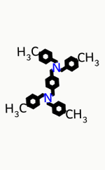 Cc1ccc(CN(Cc2ccc(C)cc2)Cc2ccc(CN(Cc3ccc(C)cc3)Cc3ccc(C)cc3)cc2)cc1